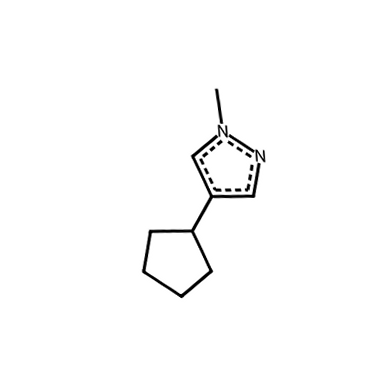 Cn1cc(C2CCCC2)cn1